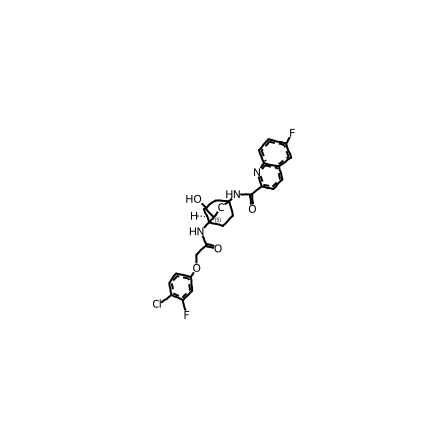 O=C(COc1ccc(Cl)c(F)c1)NC12CCC(NC(=O)c3ccc4cc(F)ccc4n3)(CC1)C[C@@H]2O